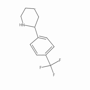 FC(F)(F)c1ccc(C2C[CH]CCN2)cc1